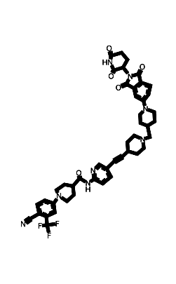 N#Cc1ccc(N2CCC(C(=O)Nc3ccc(C#CC4CCN(CC5CCN(c6ccc7c(c6)C(=O)N(C6CCC(=O)NC6=O)C7=O)CC5)CC4)cn3)CC2)cc1C(F)(F)F